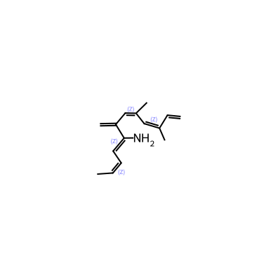 C=C/C(C)=C\C(C)=C/C(=C)/C(N)=C/C=C\C